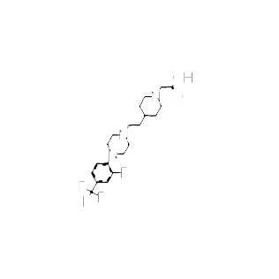 CC(=O)CN1CCC(CCN2CCN(c3ccc(C(F)(F)F)cc3F)CC2)CC1